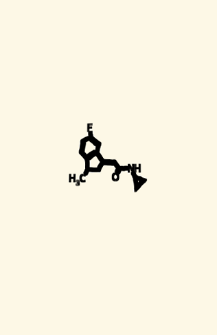 CC1CC(=CC(=O)NC2CC2)c2cc(F)ccc21